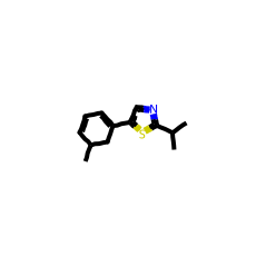 CC1C=CC=C(c2cnc(C(C)C)s2)C1